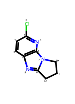 Clc1ccc2nc3n(c2n1)CCC3